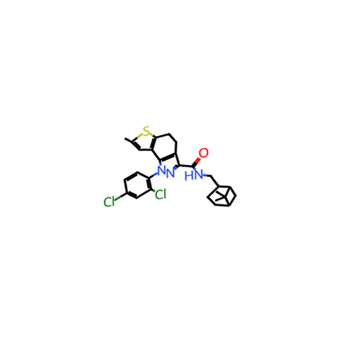 Cc1cc2c(s1)CCc1c(C(=O)NCC3CCC4CC3C4(C)C)nn(-c3ccc(Cl)cc3Cl)c1-2